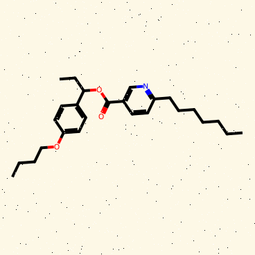 CCCCCCCc1ccc(C(=O)OC(CC)c2ccc(OCCCC)cc2)cn1